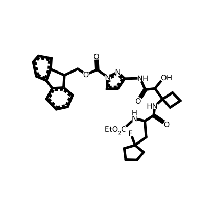 CCOC(=O)NC(CC1(F)CCCC1)C(=O)NC1(C(O)C(=O)Nc2ccn(C(=O)OCC3c4ccccc4-c4ccccc43)n2)CCC1